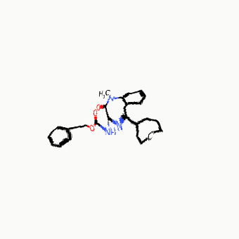 CN1C(=O)[C@@H](NC(=O)OCc2ccccc2)N=C(C2CCCCCC2)c2ccccc21